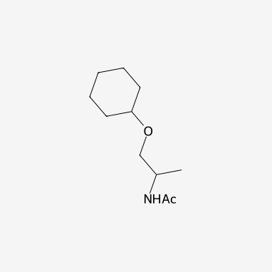 CC(=O)NC(C)COC1CCCCC1